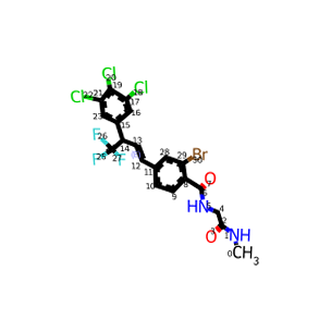 CNC(=O)CNC(=O)c1ccc(/C=C/C(c2cc(Cl)c(Cl)c(Cl)c2)C(F)(F)F)cc1Br